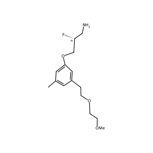 COCCOCCc1cc(C)cc(OC[C@H](F)CN)c1